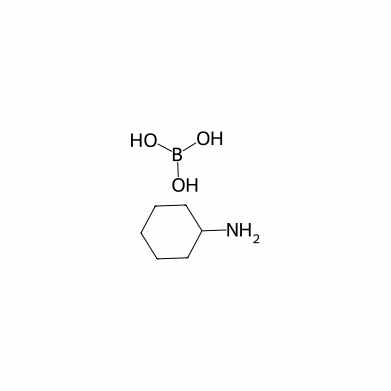 NC1CCCCC1.OB(O)O